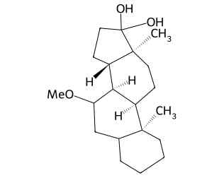 COC1CC2CCCC[C@]2(C)[C@@H]2CC[C@@]3(C)[C@@H](CCC3(O)O)[C@H]12